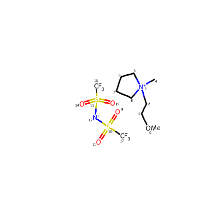 COCC[N+]1(C)CCCC1.O=S(=O)([N-]S(=O)(=O)C(F)(F)F)C(F)(F)F